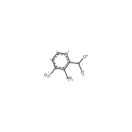 O=[N+]([O-])c1c(C(Cl)(Cl)Cl)ccnc1C(Cl)Cl